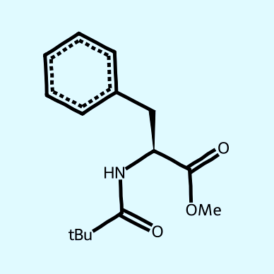 COC(=O)[C@H](Cc1ccccc1)NC(=O)C(C)(C)C